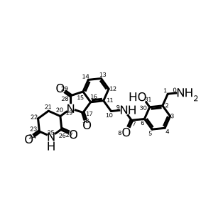 NCc1cccc(C(=O)NCc2cccc3c2C(=O)N(C2CCC(=O)NC2=O)C3=O)c1O